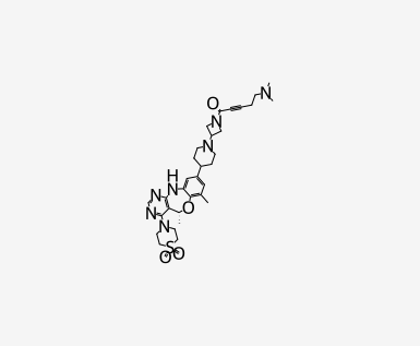 Cc1cc(C2CCN(C3CN(C(=O)C#CCCN(C)C)C3)CC2)cc2c1O[C@H](C)c1c(ncnc1N1CCS(=O)(=O)CC1)N2